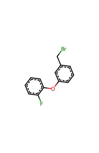 Fc1ccccc1Oc1cccc(CBr)c1